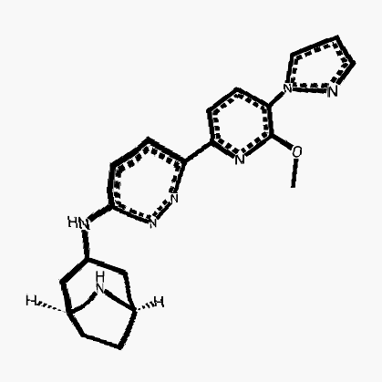 COc1nc(-c2ccc(NC3C[C@H]4CC[C@@H](C3)N4)nn2)ccc1-n1cccn1